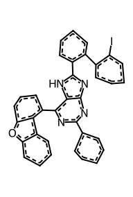 Ic1ccccc1-c1ccccc1-c1nc2nc(-c3ccccc3)nc(-c3cccc4oc5ccccc5c34)c2[nH]1